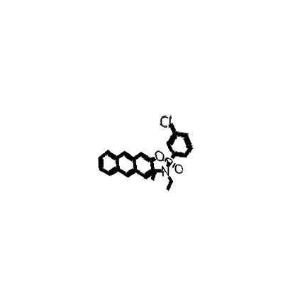 CCN(CC)P(=O)(Oc1ccc2cc3ccccc3cc2c1)c1cccc(Cl)c1